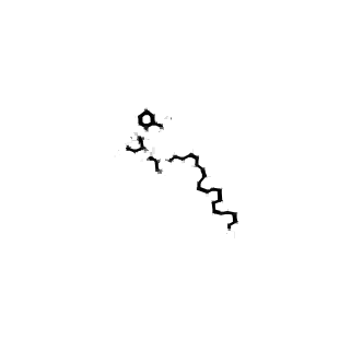 CC/C=C\C/C=C\C/C=C\C/C=C\C/C=C\C/C=C\CCCOC(CC)C(=O)NC(CC(C)C)C(=O)Oc1ccccc1C(=O)O